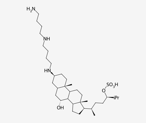 CC(C)[C@@H](CC[C@@H](C)[C@H]1CCC2C3C(CC[C@@]21C)[C@@]1(C)CC[C@H](NCCCCNCCCCN)CC1C[C@H]3O)OS(=O)(=O)O